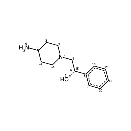 NC1CCN(C[C@@H](O)c2ccccc2)CC1